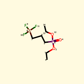 CCOP(=O)(CCCS(F)(F)F)OCC